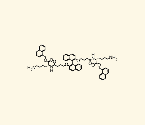 NCCCC[C@@H](NC(=O)CCCOc1ccc2ccccc2c1-c1c(OCCCC(=O)N[C@H](CCCCN)C(=O)OCc2cccc3ccccc23)ccc2ccccc12)C(=O)OCc1cccc2ccccc12